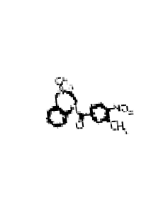 Cc1cc(C(=O)N2CCN(C)Cc3ccccc32)ccc1[N+](=O)[O-]